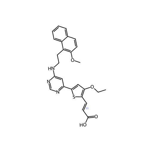 CCOc1cc(-c2cc(NCCc3c(OC)ccc4ccccc34)ncn2)sc1/C=C/C(=O)O